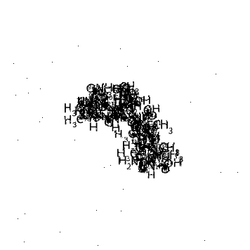 CC[C@H](C)[C@H](N)C(=O)N1CCC[C@H]1C(=O)N[C@@H](CCC(=O)O)C(=O)N[C@H](C(=O)N[C@@H](CCC(N)=O)C(=O)N[C@@H](CC(C)C)C(=O)N[C@H](C(=O)N[C@@H](CCC(=O)O)C(=O)N[C@@H](CO)C(=O)NCC(=O)NCC(=O)NCC(=O)N[C@@H](CC(C)C)C(=O)N[C@H](C(=O)N[C@@H](CCC(N)=O)C(=O)N1CCC[C@H]1C(=O)NCC(=O)NCC(=O)N[C@@H](CO)C(=O)N[C@@H](CC(C)C)C(=O)O)C(C)C)C(C)C)C(C)C